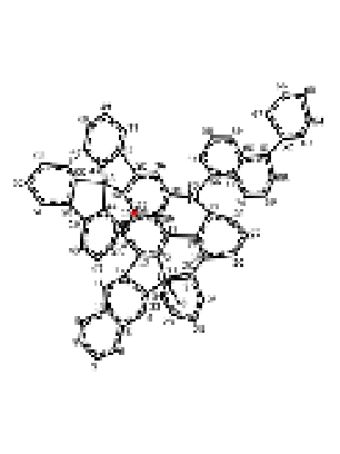 CC1(C)c2cc3ccccc3cc2-c2cccc(-c3c(-c4ccccc4)cccc3N(c3ccc4c(c3)-c3ccccc3C43c4ccccc4-c4ccccc43)c3cccc4c(-c5ccccc5)cccc34)c21